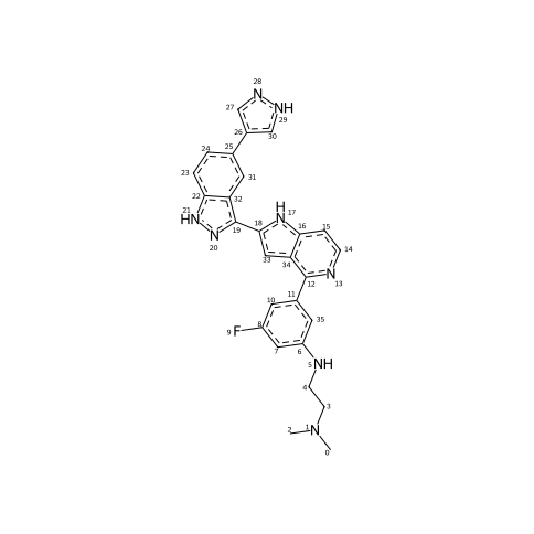 CN(C)CCNc1cc(F)cc(-c2nccc3[nH]c(-c4n[nH]c5ccc(-c6cn[nH]c6)cc45)cc23)c1